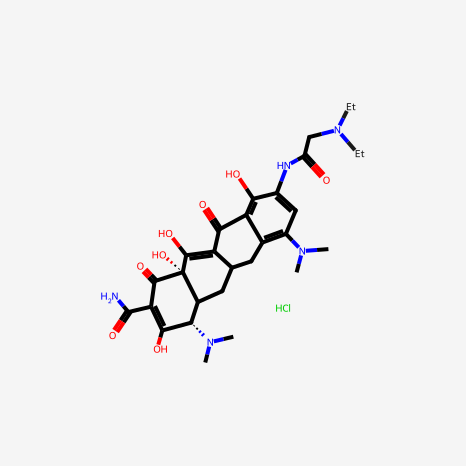 CCN(CC)CC(=O)Nc1cc(N(C)C)c2c(c1O)C(=O)C1=C(O)[C@]3(O)C(=O)C(C(N)=O)=C(O)[C@@H](N(C)C)C3CC1C2.Cl